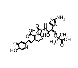 CC(C)(O/N=C(\C(=O)N[C@@H]1C(=O)N2C(C(=O)O)=C(C=CC3=CC(=O)C(O)C=N3)CS[C@H]12)c1csc(N)n1)C(=O)O